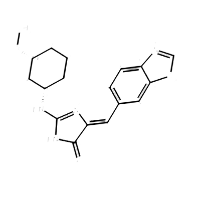 CO[C@@H]1CCC[C@H](NC2=N/C(=C\c3ccc4ncsc4c3)C(=O)N2)C1